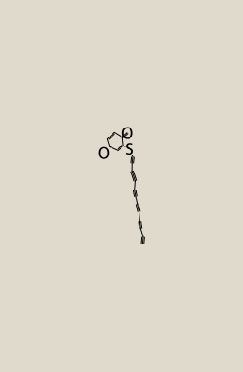 C#CC#CC#CC#CC#CC#CSC1=CC(=O)C=CC1=O